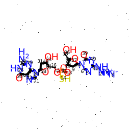 [N-]=[N+]=NNc1ncn([C@H]2C[C@@H](OP(=O)(S)OC[C@H]3O[C@@H](n4cnc5c(=O)[nH]c(N)nc54)C[C@H]3O)[C@@H](CO)O2)c(=O)n1